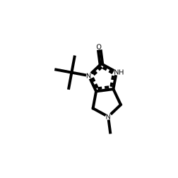 CN1Cc2[nH]c(=O)n(C(C)(C)C)c2C1